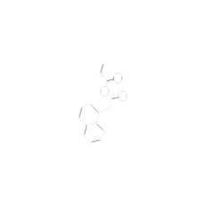 C=CC(=O)OC(=O)Cc1cccc2ccccc12